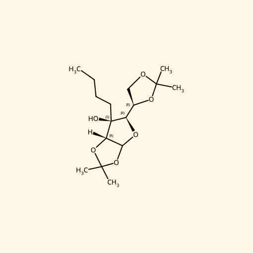 CCCC[C@]1(O)[C@@H]([C@H]2COC(C)(C)O2)OC2OC(C)(C)O[C@@H]21